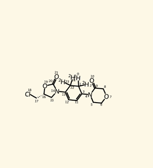 [2H]C1([2H])C(N2CCOCC2=O)=CC=C(N2C[C@H](CCl)OC2=O)C1([2H])[2H]